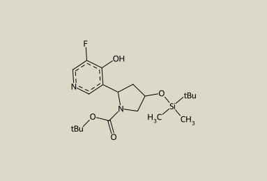 CC(C)(C)OC(=O)N1CC(O[Si](C)(C)C(C)(C)C)CC1c1cncc(F)c1O